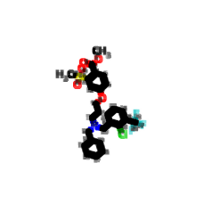 COC(=O)c1ccc(OCCCN(Cc2ccccc2)Cc2cccc(C(F)(F)F)c2Cl)cc1S(C)(=O)=O